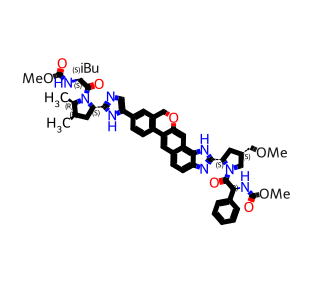 CC[C@H](C)[C@H](NC(=O)OC)C(=O)N1[C@H](C)[C@H](C)C[C@H]1c1ncc(-c2ccc3c(c2)COc2cc4c(ccc5nc([C@@H]6C[C@H](COC)CN6C(=O)[C@H](NC(=O)OC)c6ccccc6)[nH]c54)cc2-3)[nH]1